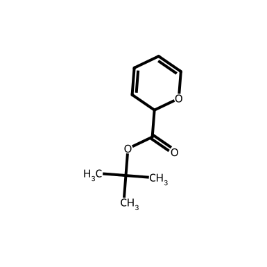 CC(C)(C)OC(=O)C1C=CC=CO1